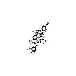 C=C(/C=C\C=C(/C)NS(=O)(=O)c1ccc(C#N)nc1)[C@@H](CN1CC[C@@H](O)C1)N(C)C(=O)Cc1ccc(Cl)c(Cl)c1